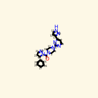 O=C(N1CCN(c2nccc(-c3cc[nH]n3)n2)CC1)N1N=CC[C@H]1c1ccccc1